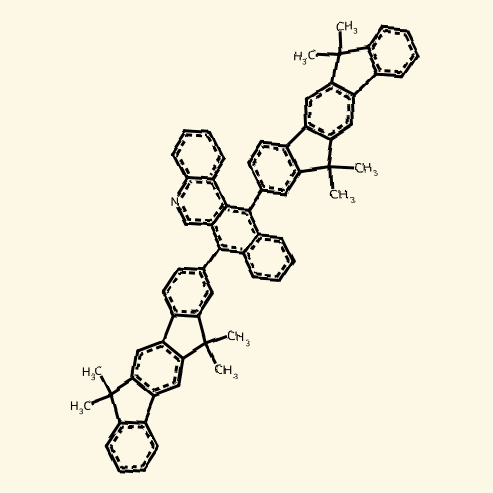 CC1(C)c2ccccc2-c2cc3c(cc21)-c1ccc(-c2c4ccccc4c(-c4ccc5c(c4)C(C)(C)c4cc6c(cc4-5)C(C)(C)c4ccccc4-6)c4c2cnc2ccccc24)cc1C3(C)C